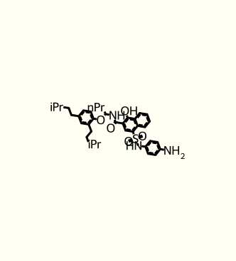 CCCC(NC(=O)c1cc(S(=O)(=O)Nc2ccc(N)cc2)c2ccccc2c1O)Oc1ccc(CCC(C)C)cc1CCC(C)C